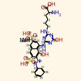 NC(CCCCNc1nc(O)nc(Nc2cc(S(=O)(=O)O)cc3cc(S(=O)(=O)O)c(/N=N/c4ccccc4)c(O)c23)n1)C(=O)O.[NaH].[NaH]